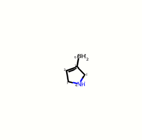 BC1=CCNC1